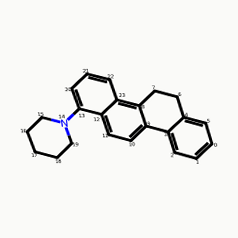 c1ccc2c(c1)CCc1c-2ccc2c(N3CCCCC3)cccc12